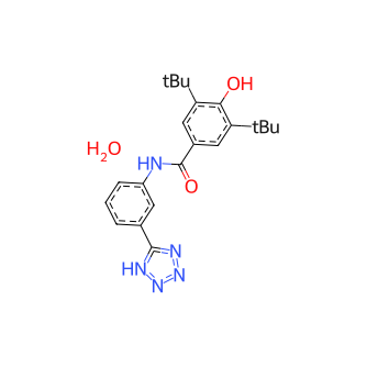 CC(C)(C)c1cc(C(=O)Nc2cccc(-c3nnn[nH]3)c2)cc(C(C)(C)C)c1O.O